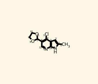 Cc1cc2c(Cl)c(C3OCCO3)cnc2[nH]1